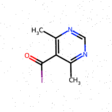 Cc1ncnc(C)c1C(=O)I